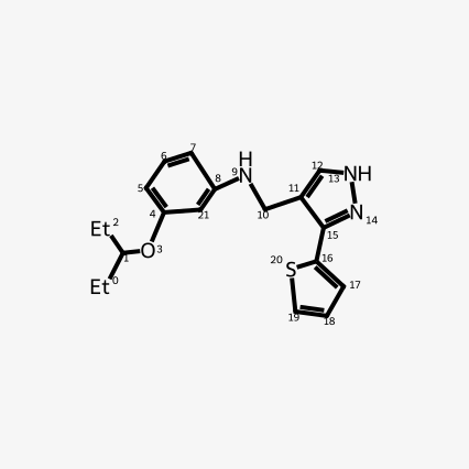 CCC(CC)Oc1cccc(NCc2c[nH]nc2-c2cccs2)c1